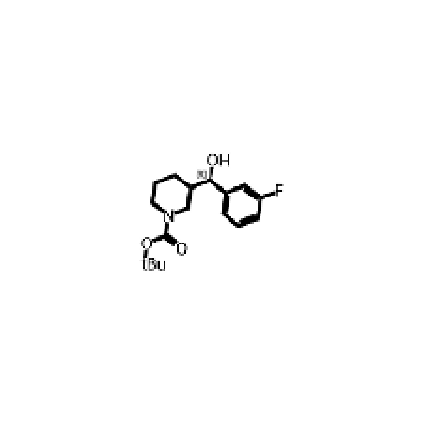 CC(C)(C)OC(=O)N1CCCC([C@@H](O)c2cccc(F)c2)C1